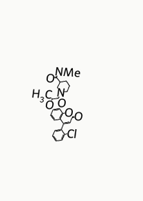 CNC(=O)C1CCCN(C(=O)C(C)Oc2ccc3c(-c4ccccc4Cl)cc(=O)oc3c2)C1